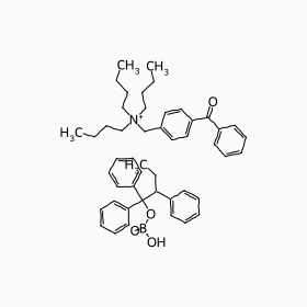 CCC(c1ccccc1)C(OB([O-])O)(c1ccccc1)c1ccccc1.CCCC[N+](CCCC)(CCCC)Cc1ccc(C(=O)c2ccccc2)cc1